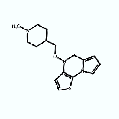 CN1CCC(CON2Cc3cccn3-c3sccc32)CC1